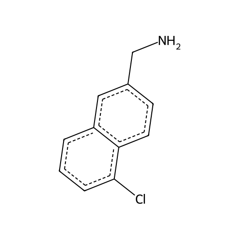 NCc1ccc2c(Cl)cccc2c1